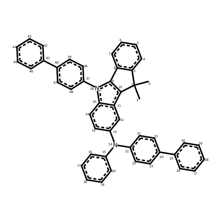 CC1(C)c2ccccc2-c2c1c1cc(N(c3ccccc3)c3ccc(-c4ccccc4)cc3)ccc1n2-c1ccc(-c2ccccc2)cc1